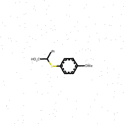 COc1ccc(SC(C(=O)O)C(C)C)cc1